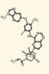 C=CC(=O)N1C[C@H]2CC[C@@H]1[C@H](c1ccc3ncnc(Nc4cc(C)c(Oc5cnc6c(c5)ncn6C)cc4F)c3n1)C2